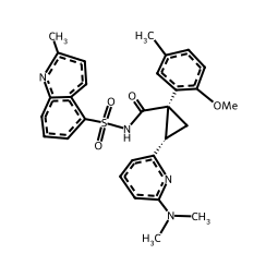 COc1ccc(C)cc1[C@]1(C(=O)NS(=O)(=O)c2cccc3nc(C)ccc23)C[C@@H]1c1cccc(N(C)C)n1